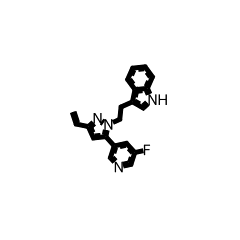 C=Cc1cc(-c2cncc(F)c2)n(CCc2c[nH]c3ccccc23)n1